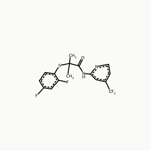 CC(C)(Sc1ccc(F)cc1F)C(=O)Nc1cc(C(F)(F)F)ccn1